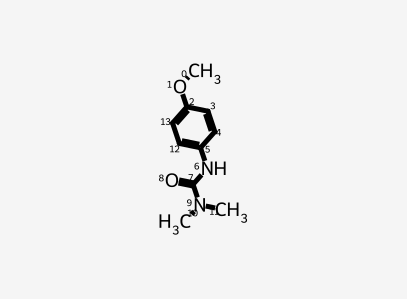 COc1ccc(NC(=O)N(C)C)cc1